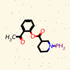 CC(=O)c1ccccc1OC(=O)C1CCCN(P)C1